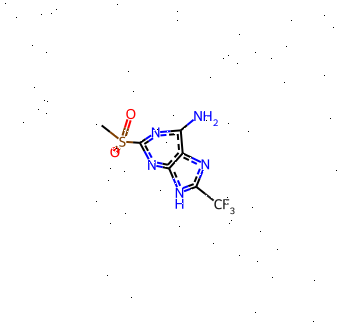 CS(=O)(=O)c1nc(N)c2nc(C(F)(F)F)[nH]c2n1